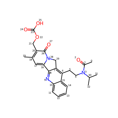 CC(=O)N(CCc1c2c(nc3ccccc13)-c1cc(C)c(COC(=O)O)c(=O)n1C2)C(C)C